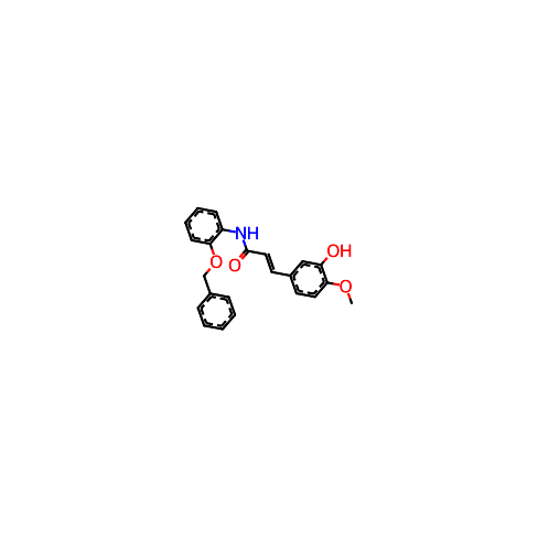 COc1ccc(C=CC(=O)Nc2ccccc2OCc2ccccc2)cc1O